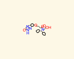 O=C(O)CN(C(=O)CCCOc1ccc2c(c1)N=C1NC(=O)CN1C2)C(c1ccccc1)c1ccccc1